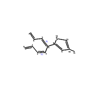 C=C/C=C\C(=C/C=C)c1cc(C)cs1